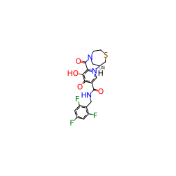 O=C(NCc1c(F)cc(F)cc1F)c1cn2c(c(O)c1=O)C(=O)N1CCSC[C@@H]2C1